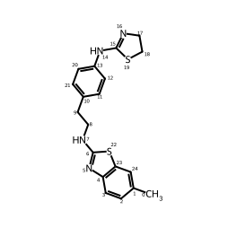 Cc1ccc2nc(NCCc3ccc(NC4=NCCS4)cc3)sc2c1